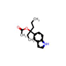 CCCC(CC)(OC(C)=O)c1ccc2[nH]ccc2c1